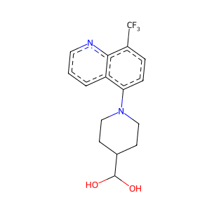 OC(O)C1CCN(c2ccc(C(F)(F)F)c3ncccc23)CC1